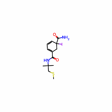 CSCC(C)(C)NC(=O)C1=CC=CC(I)(C(N)=O)C1